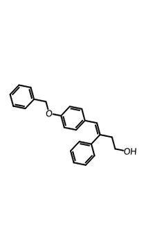 OCCC(=Cc1ccc(OCc2ccccc2)cc1)c1ccccc1